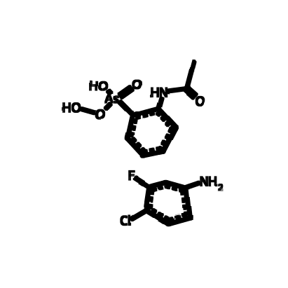 CC(=O)Nc1ccccc1[As](=O)(O)OO.Nc1ccc(Cl)c(F)c1